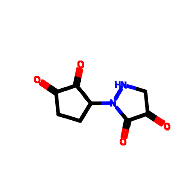 O=C1CCC(N2NCC(=O)C2=O)C1=O